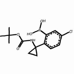 CC(C)(C)OC(=O)NC1(c2ccc(Cl)cc2B(O)O)CC1